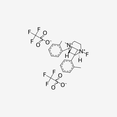 Cc1ccccc1[C@H]1[C@H](c2ccccc2C)[N+]2(F)CC[N+]1(C)CC2.O=S(=O)([O-])C(F)(F)F.O=S(=O)([O-])C(F)(F)F